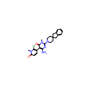 Cn1c(Cl)c(-c2c(N)nc(N3CCC4(CC3)Cc3ccccc3C4)n(C)c2=O)ccc1=O